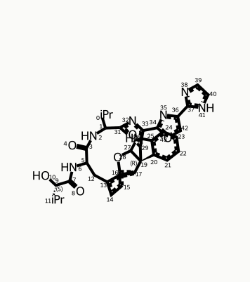 CC(C)C1NC(=O)C(NC(=O)[C@@H](O)C(C)C)Cc2ccc3c(c2)[C@@]2(c4ccccc4NC2O3)c2oc1nc2-c1nc(-c2ncc[nH]2)co1